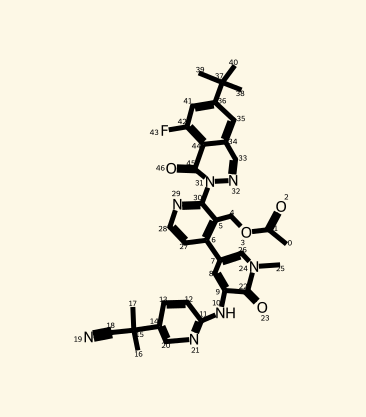 CC(=O)OCc1c(-c2cc(Nc3ccc(C(C)(C)C#N)cn3)c(=O)n(C)c2)ccnc1-n1ncc2cc(C(C)(C)C)cc(F)c2c1=O